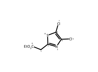 CCOC(=O)Cc1nc(Cl)c(Cl)s1